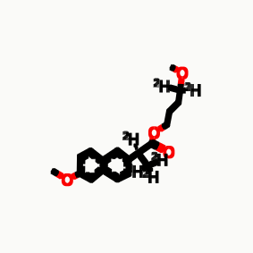 [2H]C([2H])(CCCOC(=O)[C@]([2H])(c1ccc2cc(OC)ccc2c1)C([2H])([2H])[2H])OC